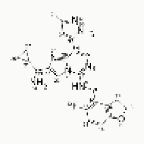 Cc1cc(-c2cnc(NCc3c(F)ccc4c3CCO4)n3cc(C(N)C4CC4)nc23)n(C)n1